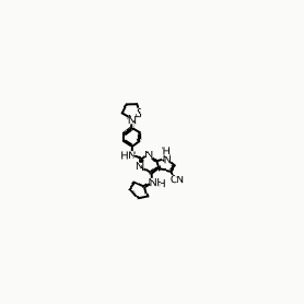 N#Cc1c[nH]c2nc(Nc3ccc(N4CCCS4)cc3)nc(NC3CCCC3)c12